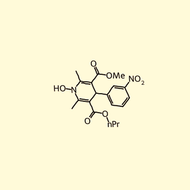 CCCOC(=O)C1=C(C)N(O)C(C)=C(C(=O)OC)C1c1cccc([N+](=O)[O-])c1